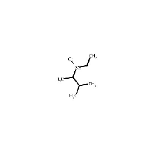 CC[S@@+]([O-])C(C)C(C)C